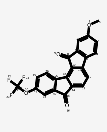 COc1ccc2c(c1)c(=O)c1c2ccc2c(=O)c3cc(OC(F)(F)F)ccc3c21